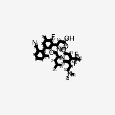 Cc1cc(-c2c(C)cccc2C#N)cc(C(CC(=O)O)NC(=O)C(CC(C)C)n2cc(CCN(C)C)c(C(F)(F)F)cc2=O)c1F